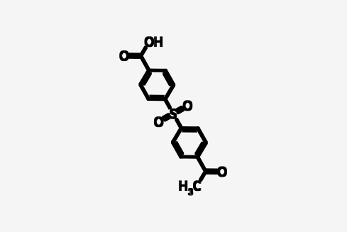 CC(=O)c1ccc(S(=O)(=O)c2ccc(C(=O)O)cc2)cc1